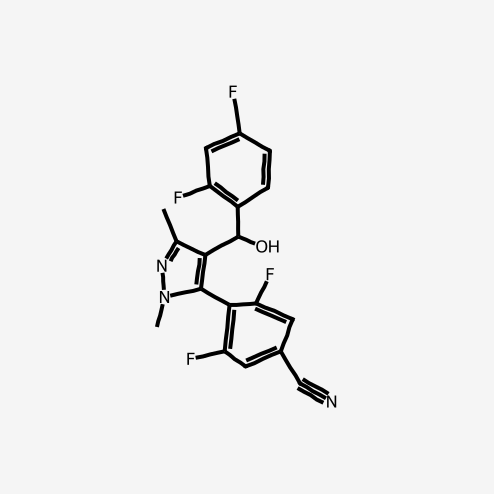 Cc1nn(C)c(-c2c(F)cc(C#N)cc2F)c1C(O)c1ccc(F)cc1F